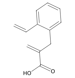 C=Cc1ccccc1CC(=C)C(=O)O